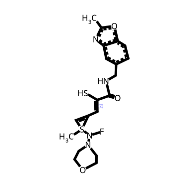 Cc1nc2cc(CNC(=O)/C(S)=C/C3=CS3(C)N(F)N3CCOCC3)ccc2o1